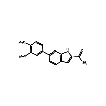 COc1ccc(-c2ccc3cc(C(N)=O)[nH]c3n2)cc1OC